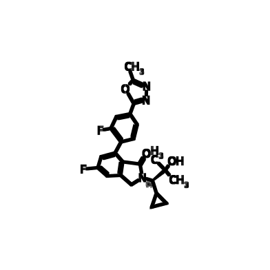 Cc1nnc(-c2ccc(-c3cc(F)cc4c3C(=O)N([C@H](C3CC3)C(C)(C)O)C4)c(F)c2)o1